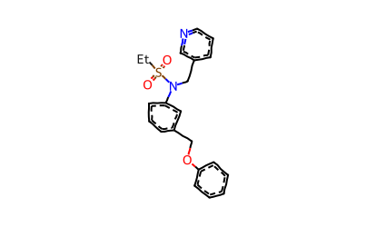 CCS(=O)(=O)N(Cc1cccnc1)c1cccc(COc2ccccc2)c1